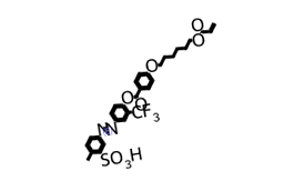 C=CC(=O)OCCCCCCOc1ccc(C(=O)Oc2ccc(/N=N/c3ccc(C)c(S(=O)(=O)O)c3)cc2C(F)(F)F)cc1